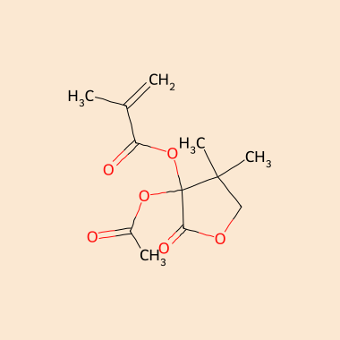 C=C(C)C(=O)OC1(OC(C)=O)C(=O)OCC1(C)C